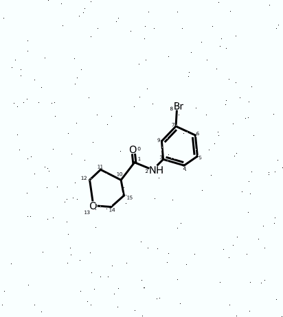 O=C(Nc1cccc(Br)c1)C1CCOCC1